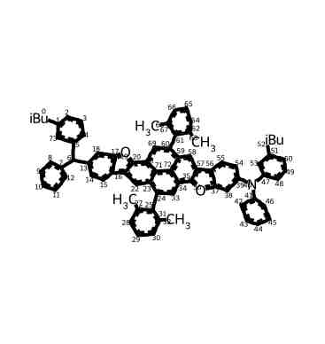 CCC(C)c1cccc(C(c2ccccc2)c2ccc3c(c2)oc2c3cc3c(-c4c(C)cccc4C)cc4c5oc6cc(N(c7ccccc7)c7cccc(C(C)CC)c7)ccc6c5cc5c(-c6c(C)cccc6C)cc2c3c54)c1